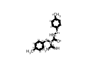 Cc1ccc(SNC(=O)N(Sc2ccc(C)cc2)C(=N)N)cc1